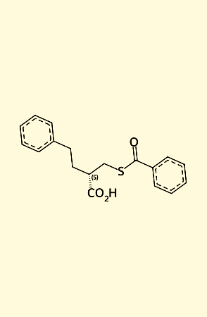 O=C(SC[C@@H](CCc1ccccc1)C(=O)O)c1ccccc1